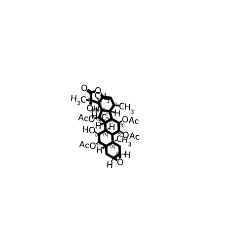 CC(=O)O[C@@H]1[C@H]2[C@H]3C([C@H](OC(C)=O)[C@H](OC(C)=O)[C@]2(C)[C@@H]2[C@@H]1[C@]1(C)C(=C[C@H]2C)OC(=O)[C@@]1(C)O)[C@@]1(C)C[C@H]2O[C@H]2C[C@@H]1[C@H](OC(C)=O)[C@@H]3O